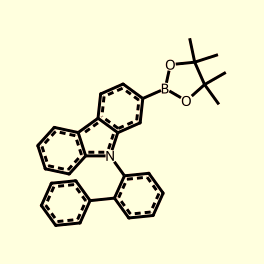 CC1(C)OB(c2ccc3c4ccccc4n(-c4ccccc4-c4ccccc4)c3c2)OC1(C)C